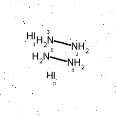 I.I.NN.NN